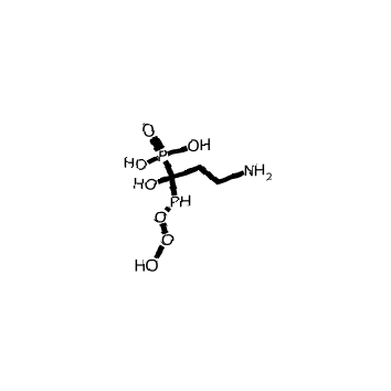 NCCC(O)(POOO)P(=O)(O)O